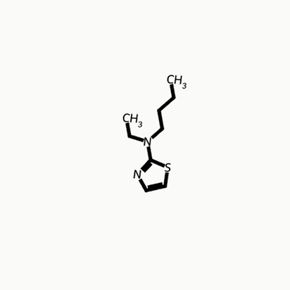 CCCCN(CC)c1nccs1